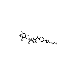 COC1CN(C2CCC(C(C)c3scc(C(=O)NCc4c(C)cc(C)[nH]c4=O)c3C)CC2)C1